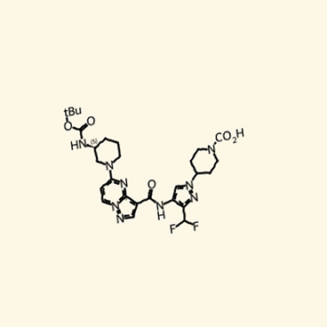 CC(C)(C)OC(=O)N[C@H]1CCCN(c2ccn3ncc(C(=O)Nc4cn(C5CCN(C(=O)O)CC5)nc4C(F)F)c3n2)C1